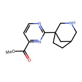 COC(=O)c1ccnc(C23CCC(CNC2)C3)n1